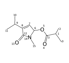 CC(C)C(=O)OC1C=C(C(C)C)C(=O)N1C